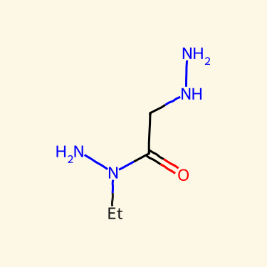 CCN(N)C(=O)CNN